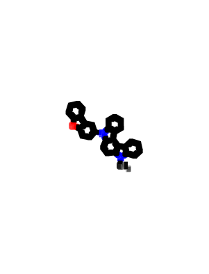 Cn1c2ccccc2c2c3c4ccccc4n(-c4ccc5oc6ccccc6c5c4)c3ccc21